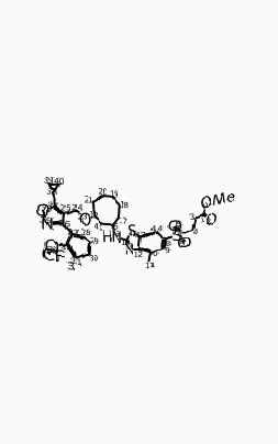 COC(=O)CCS(=O)(=O)c1cc(C)c2nc(N[C@@H]3CCCCC[C@@H](OCc4c(-c5ccccc5OC(F)(F)F)noc4C4CC4)C3)sc2c1